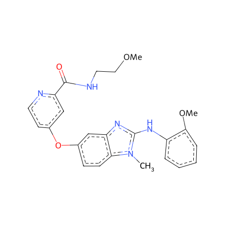 COCCNC(=O)c1cc(Oc2ccc3c(c2)nc(Nc2ccccc2OC)n3C)ccn1